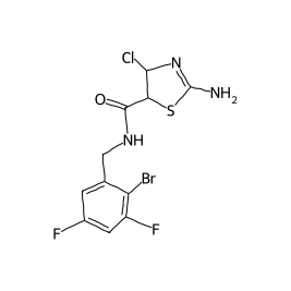 NC1=NC(Cl)C(C(=O)NCc2cc(F)cc(F)c2Br)S1